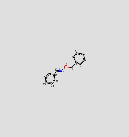 [C](=N\OCc1ccccc1)/c1ccccc1